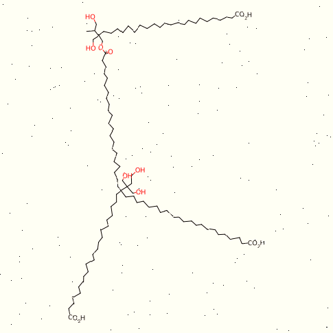 CC(CO)C(CO)(CCCCCCCCCCCCCCCCCCCCCCC(=O)O)COC(=O)CCCCCCCCCCCCCCCCCCCCCC(CCCCCCCCCCCCCCCCCCCCCC(=O)O)(CCCCCCCCCCCCCCCCCCCCCC(=O)O)C(CO)(CO)CCO